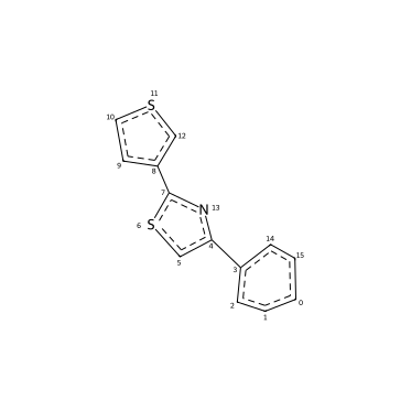 c1ccc(-c2csc(-c3ccsc3)n2)cc1